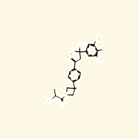 CC(C(=O)N1CC(F)(c2ccc(C3=NOC(c4cc(Cl)c(F)c(Cl)c4)(C(F)(F)F)C3)cc2)C1)C(F)(F)F